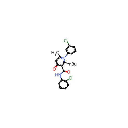 CCCCc1c(C(=O)Nc2ccccc2Cl)c(=O)cc(C)n1-c1cccc(Cl)c1